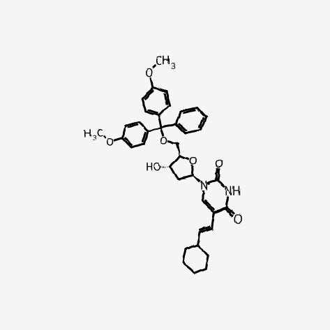 COc1ccc(C(OC[C@H]2O[C@@H](n3cc(C=CC4CCCCC4)c(=O)[nH]c3=O)C[C@@H]2O)(c2ccccc2)c2ccc(OC)cc2)cc1